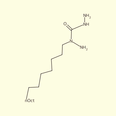 CCCCCCCCCCCCCCCN(N)C(=O)NN